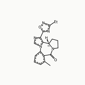 CCc1noc(-c2ncn3c2[C@@H]2CCCN2C(=O)c2c(C)cccc2-3)n1